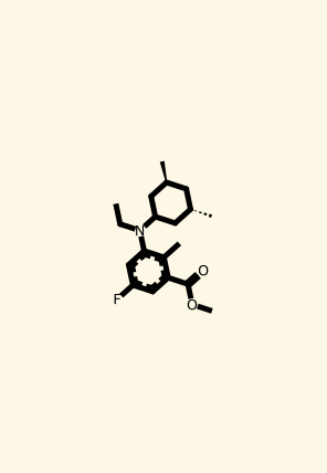 CCN(c1cc(F)cc(C(=O)OC)c1C)C1C[C@@H](C)C[C@H](C)C1